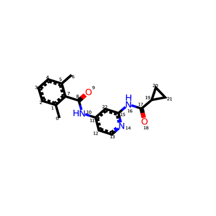 Cc1cccc(C)c1C(=O)Nc1ccnc(NC(=O)C2CC2)c1